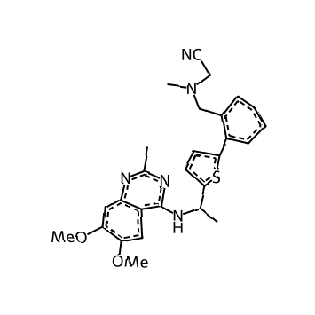 COc1cc2nc(C)nc(NC(C)c3ccc(-c4ccccc4CN(C)CC#N)s3)c2cc1OC